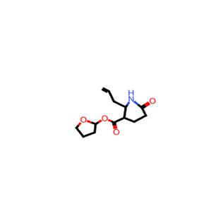 C=CCC1NC(=O)CCC1C(=O)OC1CCCO1